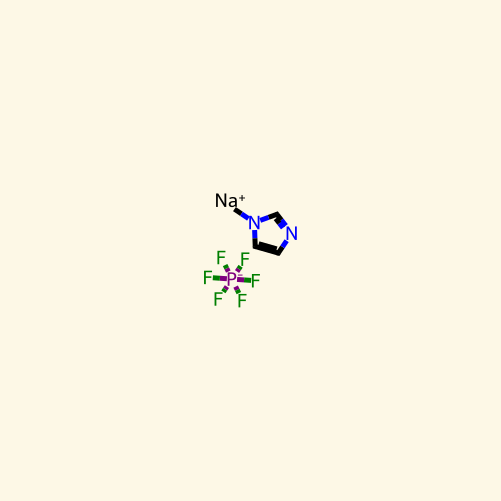 Cn1ccnc1.F[P-](F)(F)(F)(F)F.[Na+]